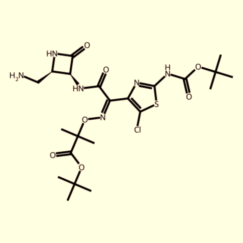 CC(C)(C)OC(=O)Nc1nc(/C(=N/OC(C)(C)C(=O)OC(C)(C)C)C(=O)N[C@@H]2C(=O)N[C@@H]2CN)c(Cl)s1